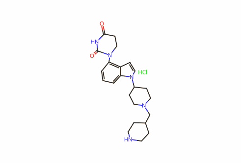 Cl.O=C1CCN(c2cccc3c2ccn3C2CCN(CC3CCNCC3)CC2)C(=O)N1